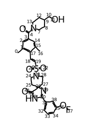 Cc1cc(C(=O)N2CCC(CO)CC2)cc(C)c1/C=C/S(=O)(=O)N1CCC2(CC1)N=C(c1cccc(OF)c1)NC2=O